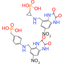 O=c1[nH]c2cc([N+](=O)[O-])cc(CN[C@@H]3C[C@H]3P(=O)(O)O)c2[nH]c1=O.O=c1[nH]c2cc([N+](=O)[O-])cc(CNc3ccc(CP(=O)(O)O)cc3)c2[nH]c1=O